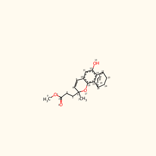 COC(=O)CCC1(C)C=Cc2cc(O)c3c(c2O1)C1CCCC3CC1